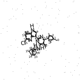 Cc1ccc(-c2nc(-c3c[nH]c4ncc(Cl)nc34)nc(N[C@@H]3CC4CCC3CC4)c2F)s1